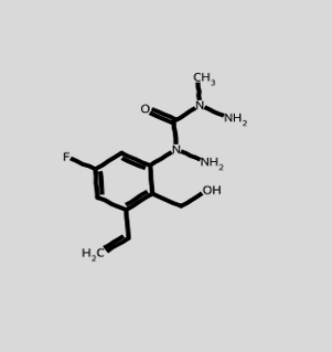 C=Cc1cc(F)cc(N(N)C(=O)N(C)N)c1CO